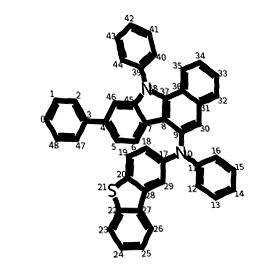 c1ccc(-c2ccc3c4c(N(c5ccccc5)c5ccc6sc7ccccc7c6c5)cc5ccccc5c4n(-c4ccccc4)c3c2)cc1